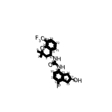 CC1(C)C[C@@H](NC(=O)Nc2ccc(F)c3c2C[C@@H](O)C3)c2cccc(C(F)(F)F)c2O1